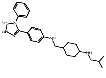 CC(C)SNC1CCC(CNc2ccc(C3=NNNN3c3ccccc3)cc2)CC1